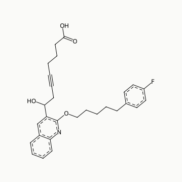 O=C(O)CCCC#CCC(O)c1cc2ccccc2nc1OCCCCCc1ccc(F)cc1